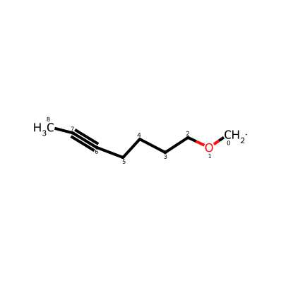 [CH2]OCCCCC#CC